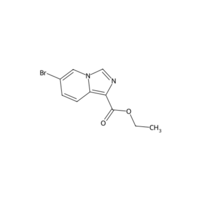 CCOC(=O)c1ncn2cc(Br)ccc12